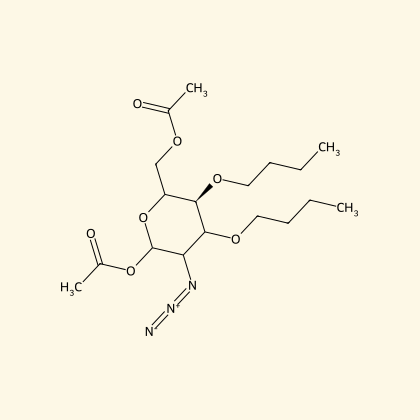 CCCCOC1C(N=[N+]=[N-])C(OC(C)=O)OC(COC(C)=O)[C@H]1OCCCC